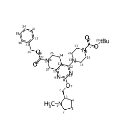 CN1CCC[C@@H]1COc1nc2c(c(N3CCN(C(=O)OC(C)(C)C)CC3)n1)CCN(C(=O)OCc1ccccc1)C2